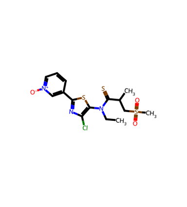 CCN(C(=S)C(C)CS(C)(=O)=O)c1sc(-c2ccc[n+]([O-])c2)nc1Cl